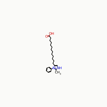 Cc1[nH]cc(CCCCCCCCCCCCC(=O)O)[n+]1-c1ccccc1